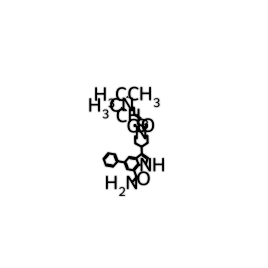 CC(C)N(CCCS(=O)(=O)N1CCC(c2c[nH]c3c(C(N)=O)cc(-c4ccccc4)cc23)CC1)C(C)C